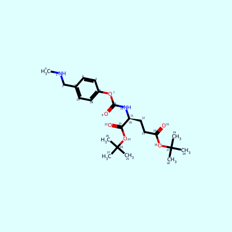 CNCc1ccc(OC(=O)N[C@@H](CCC(=O)OC(C)(C)C)C(=O)OC(C)(C)C)cc1